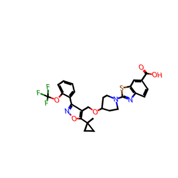 CC1(c2onc(-c3ccccc3OC(F)(F)F)c2COC2CCN(c3nc4ccc(C(=O)O)cc4s3)CC2)CC1